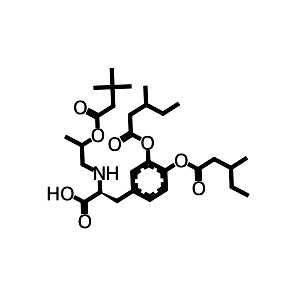 CCC(C)CC(=O)Oc1ccc(C[C@H](NCC(C)OC(=O)CC(C)(C)C)C(=O)O)cc1OC(=O)CC(C)CC